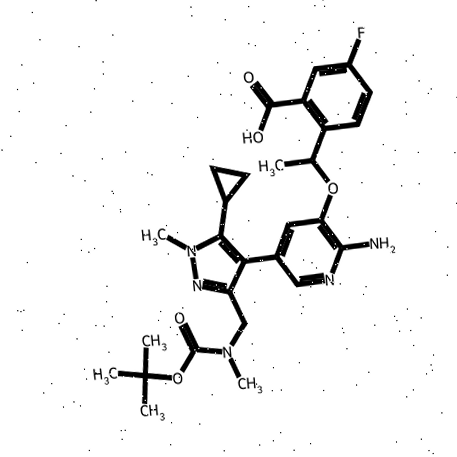 CC(Oc1cc(-c2c(CN(C)C(=O)OC(C)(C)C)nn(C)c2C2CC2)cnc1N)c1ccc(F)cc1C(=O)O